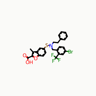 Cc1c(C(=O)O)oc2ccc(SN(CCc3ccccc3)Cc3ccc(Br)cc3C(F)(F)F)cc12